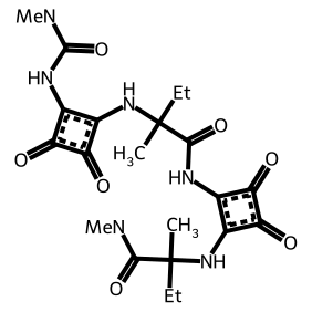 CCC(C)(Nc1c(NC(=O)NC)c(=O)c1=O)C(=O)Nc1c(NC(C)(CC)C(=O)NC)c(=O)c1=O